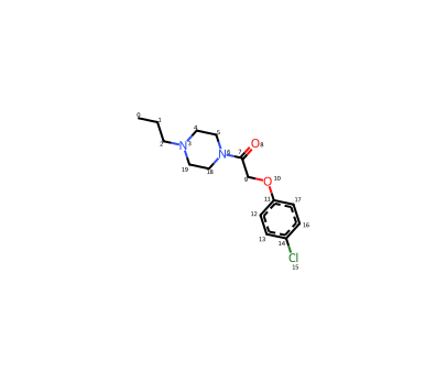 CCCN1CCN(C(=O)COc2ccc(Cl)cc2)CC1